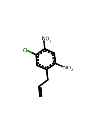 C=CCc1cc(Cl)c([N+](=O)[O-])cc1[N+](=O)[O-]